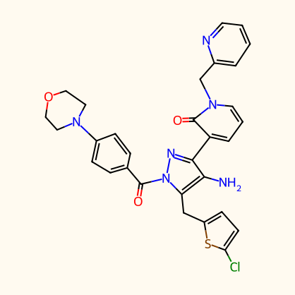 Nc1c(-c2cccn(Cc3ccccn3)c2=O)nn(C(=O)c2ccc(N3CCOCC3)cc2)c1Cc1ccc(Cl)s1